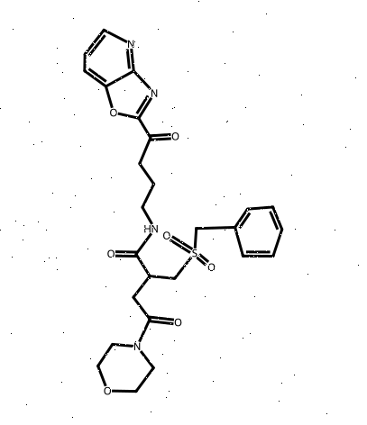 O=C(CCCNC(=O)C(CC(=O)N1CCOCC1)CS(=O)(=O)Cc1ccccc1)c1nc2ncccc2o1